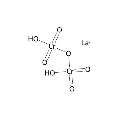 [La].[O]=[Cr](=[O])([OH])[O][Cr](=[O])(=[O])[OH]